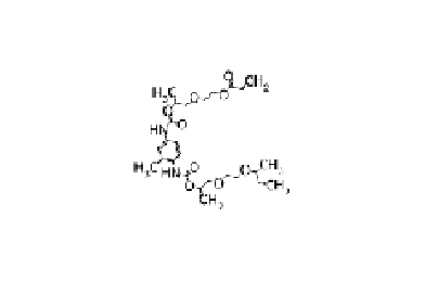 C=CC(=O)OCCOCC(C)OC(=O)Nc1ccc(NC(=O)OC(C)COCCOC(C)C=C)c(C)c1